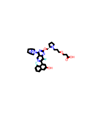 O=C(O)CCOCCCN1CCC[C@H]1COc1nc(N2CC3CCC(C2)N3)c2cnc(-c3cc(O)cc4cccc(F)c34)c(F)c2n1